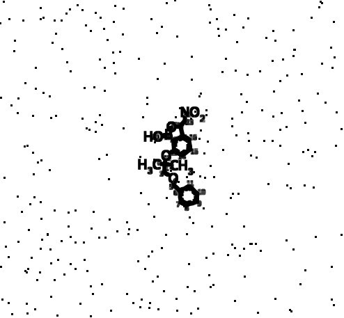 CC(C)(COCc1ccccc1)Oc1cccc2c1B(O)OC2C[N+](=O)[O-]